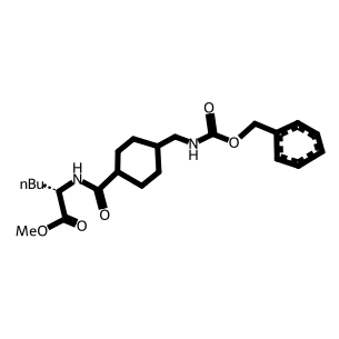 CCCC[C@H](NC(=O)C1CCC(CNC(=O)OCc2ccccc2)CC1)C(=O)OC